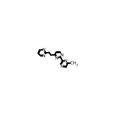 Cc1cncc(-c2nccc(CCc3ncccn3)n2)n1